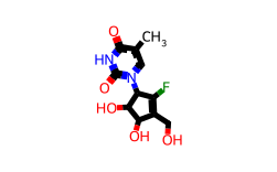 Cc1cn(C2C(F)=C(CO)C(O)C2O)c(=O)[nH]c1=O